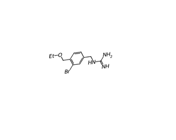 CCOCc1ccc(CNC(=N)N)cc1Br